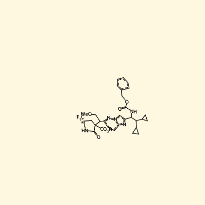 COCC(c1ccc2nc(C(NC(=O)OCc3ccccc3)C(C3CC3)C3CC3)cn2n1)C1(C(=O)O)C[C@@H](C(F)(F)F)CNC1=O